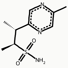 Cc1cnc([C@@H](C)[C@H](C)S(N)(=O)=O)cn1